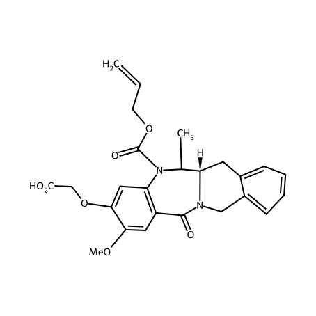 C=CCOC(=O)N1c2cc(OCC(=O)O)c(OC)cc2C(=O)N2Cc3ccccc3C[C@H]2C1C